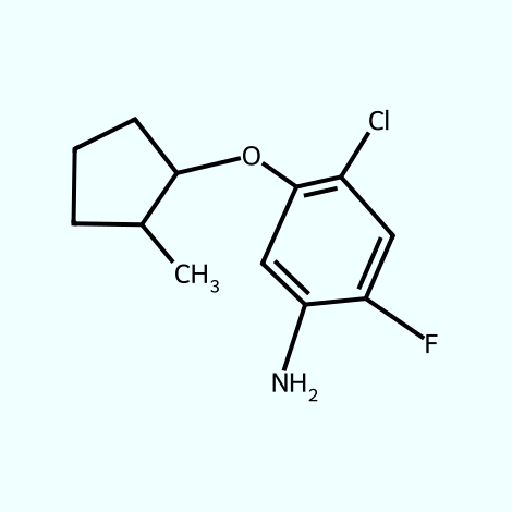 CC1CCCC1Oc1cc(N)c(F)cc1Cl